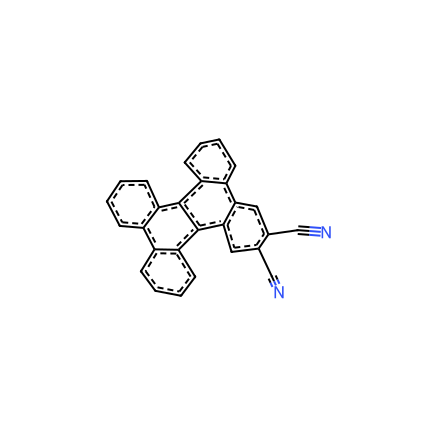 N#Cc1cc2c3ccccc3c3c4ccccc4c4ccccc4c3c2cc1C#N